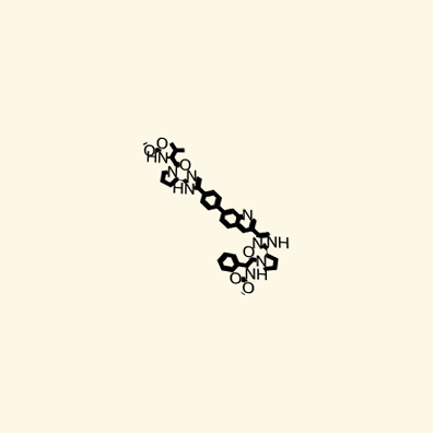 COC(=O)N[C@H](C(=O)N1CCC[C@H]1c1ncc(-c2ccc(-c3ccc4cc(-c5c[nH]c([C@@H]6CCCN6C(=O)[C@H](NC(=O)OC)c6ccccc6)n5)cnc4c3)cc2)[nH]1)C(C)C